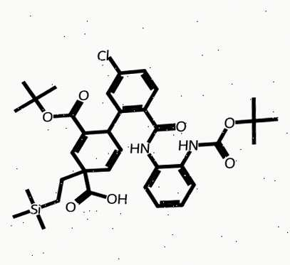 CC(C)(C)OC(=O)Nc1ccccc1NC(=O)c1ccc(Cl)cc1C1C=CC(CC[Si](C)(C)C)(C(=O)O)C=C1C(=O)OC(C)(C)C